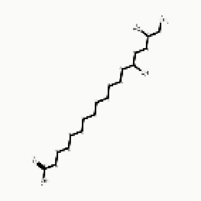 CCC(O)CCC(O)CCCCCCCCCCCCC(=O)O